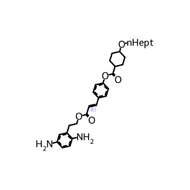 CCCCCCCOC1CCC(C(=O)Oc2ccc(/C=C/C(=O)OCCc3cc(N)ccc3N)cc2)CC1